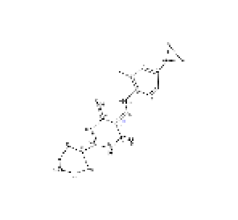 Cc1cc(C2CC2)ccc1N/C=C1\C(=N)N=C(N2CCOCC2)NC1=O